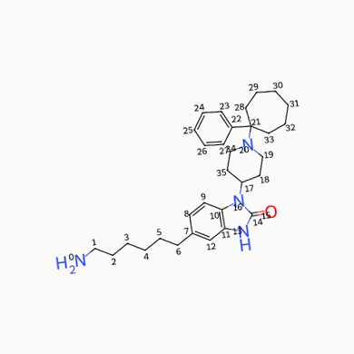 NCCCCCCc1ccc2c(c1)[nH]c(=O)n2C1CCN(C2(c3ccccc3)CCCCCC2)CC1